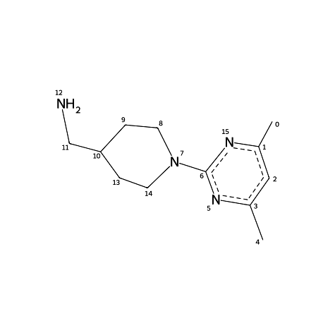 Cc1cc(C)nc(N2CCC(CN)CC2)n1